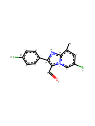 Cc1cc(Br)cn2c(C=O)c(-c3ccc(F)cc3)nc12